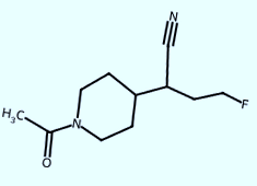 CC(=O)N1CCC(C(C#N)CCF)CC1